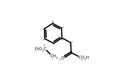 CCOC(C)=O.O=C(O)C(=O)Cc1ccccc1